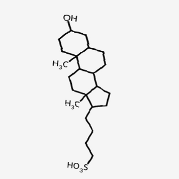 CC12CCC3C(CCC4CC(O)CCC43C)C1CCC2CCCCS(=O)(=O)O